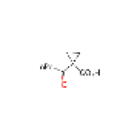 CCCC(=O)C1(C(=O)O)CC1